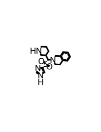 O=S(=O)(c1c[nH]cn1)C(C1CCCNC1)N1CCc2ccccc2C1